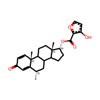 C[C@H]1CC2C(CC[C@@]3(C)C2CC[C@H]3OC(=O)c2occc2O)[C@@]2(C)C=CC(=O)C=C12